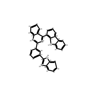 c1cc(-c2nc(-c3cccc4c3oc3ccccc34)c3ccccc3n2)cc(-c2nc3ccccc3o2)c1